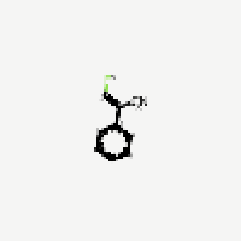 N#C/C(=C\F)c1ccccc1